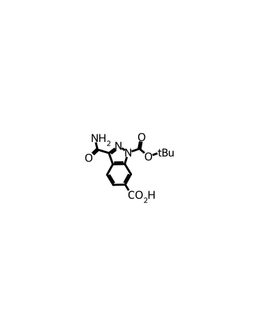 CC(C)(C)OC(=O)n1nc(C(N)=O)c2ccc(C(=O)O)cc21